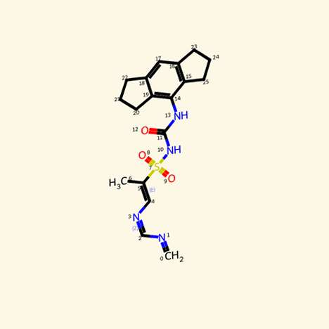 C=N/C=N\C=C(/C)S(=O)(=O)NC(=O)Nc1c2c(cc3c1CCC3)CCC2